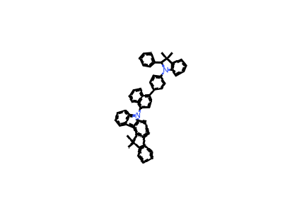 CC1(C)c2ccccc2-c2ccc3c(c21)c1ccccc1n3-c1ccc(-c2ccc(N3c4ccccc4C(C)(C)C3c3ccccc3)cc2)c2ccccc12